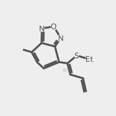 C=C/C=C(\SCC)c1ccc(C)c2nonc12